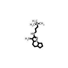 C[N+](C)(C)CCCNC1=NN2C3CCCC3CCC2C1N